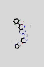 Cn1c(=O)c(-c2c(Cl)cccc2Cl)cc2cnc(Nc3ccc(O[C@@H]4CCC[C@@H]4N)cn3)nc21